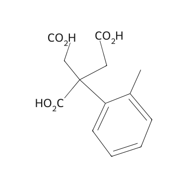 Cc1ccccc1C(CC(=O)O)(CC(=O)O)C(=O)O